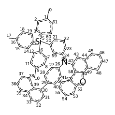 Cc1ccc([Si](c2ccc(C)cc2)(c2ccc(C)cc2)c2cccc(N(c3ccc(-c4cccc5ccccc45)cc3)c3cc4ccccc4c4oc5ccccc5c34)c2)cc1